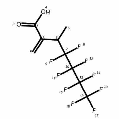 C=C(C(=O)O)C(C)C(F)(F)C(F)(F)C(F)(F)C(F)(F)F